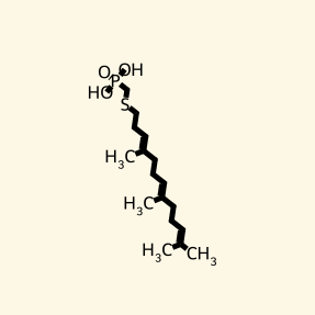 CC(C)=CCC/C(C)=C/CC/C(C)=C/CCSCP(=O)(O)O